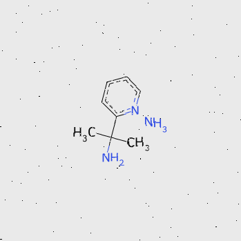 CC(C)(N)c1ccccn1.N